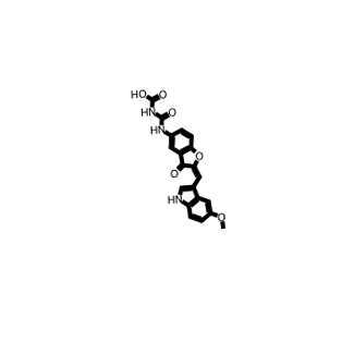 COc1ccc2[nH]cc(C=C3Oc4ccc(NC(=O)NC(=O)O)cc4C3=O)c2c1